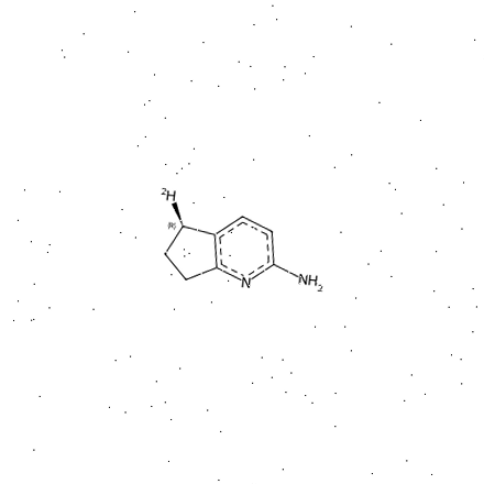 [2H][C@@H]1CCc2nc(N)ccc21